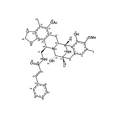 COc1c(C)cc2c(c1O)[C@@H]1N[C@H](C2)[C@H](O)N2C1Cc1c(OC(C)=O)c(C)c3c(c1[C@@H]2CNC(=O)/C=C/c1ccccc1)OCO3